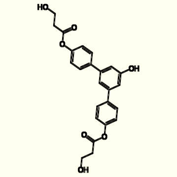 O=C(CCO)Oc1ccc(-c2cc(O)cc(-c3ccc(OC(=O)CCO)cc3)c2)cc1